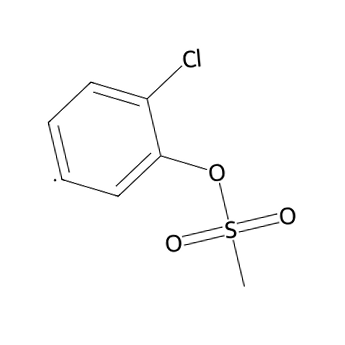 CS(=O)(=O)Oc1c[c]ccc1Cl